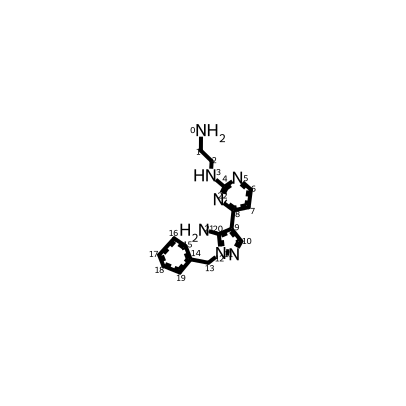 NCCNc1nccc(-c2cnn(Cc3ccccc3)c2N)n1